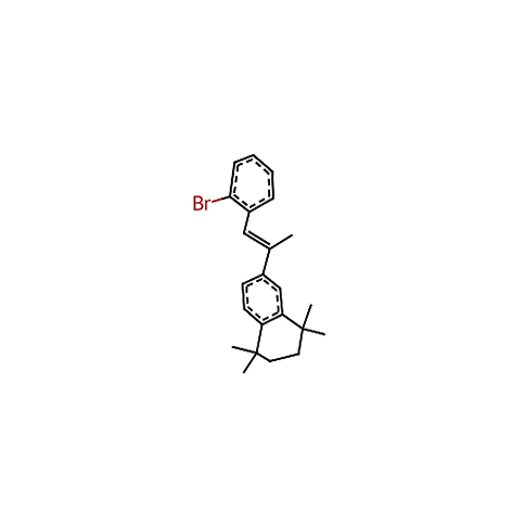 CC(=Cc1ccccc1Br)c1ccc2c(c1)C(C)(C)CCC2(C)C